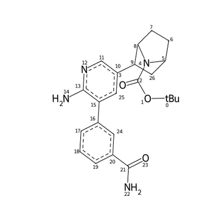 CC(C)(C)OC(=O)N1C2CCC1C(c1cnc(N)c(-c3cccc(C(N)=O)c3)c1)C2